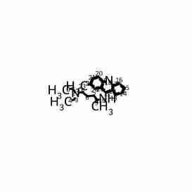 CCN(CC)CCCC(C)Nc1c2ccccc2nc2ccc(C)cc12